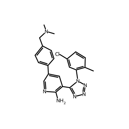 Cc1ccc(Cl)cc1-n1nnnc1-c1cc(-c2ccc(CN(C)C)cc2)cnc1N